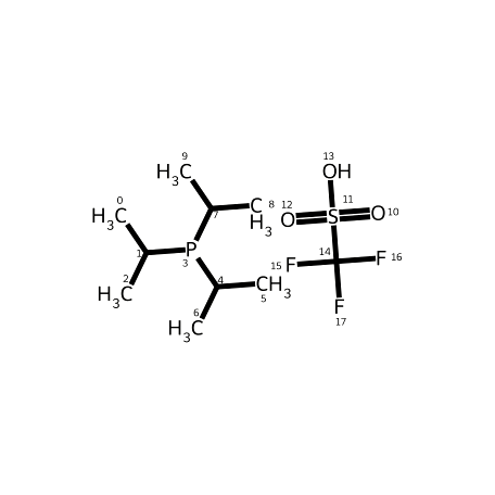 CC(C)P(C(C)C)C(C)C.O=S(=O)(O)C(F)(F)F